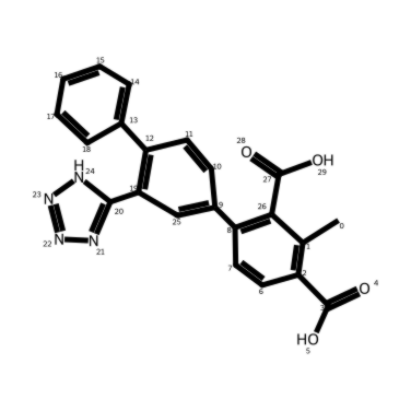 Cc1c(C(=O)O)ccc(-c2ccc(-c3ccccc3)c(-c3nnn[nH]3)c2)c1C(=O)O